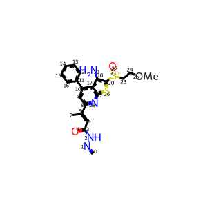 C=NNC(=O)/C=C(\C)c1cc(-c2ccccc2)c2c(N)c([S+]([O-])CCOC)sc2n1